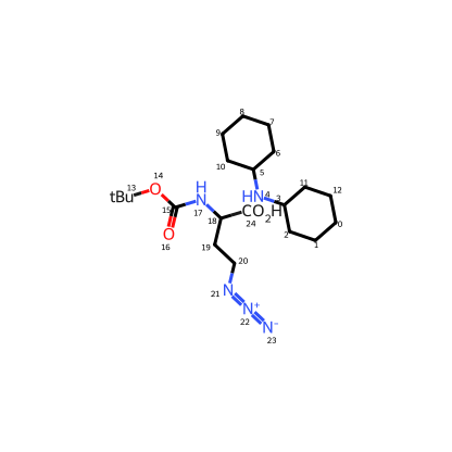 C1CCC(NC2CCCCC2)CC1.CC(C)(C)OC(=O)NC(CCN=[N+]=[N-])C(=O)O